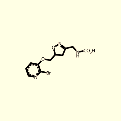 O=C(O)NCC1=NOC(COc2cccnc2Br)C1